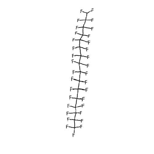 FC(F)C(F)(F)C(F)(F)C(F)(F)C(F)(F)C(F)(F)C(F)(F)C(F)(F)C(F)(F)C(F)(F)C(F)(F)C(F)(F)C(F)(F)C(F)(F)C(F)(F)C(F)(F)F